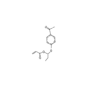 C=CC(=O)OC(CC)Oc1ccc(C(C)=O)cc1